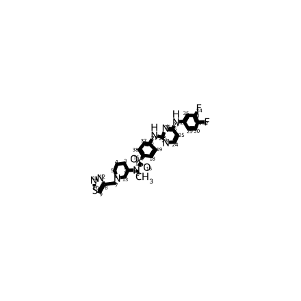 CN(C1CCCN(Cc2csnn2)C1)S(=O)(=O)c1ccc(Nc2nccc(Nc3ccc(F)c(F)c3)n2)cc1